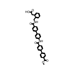 COC(=O)c1ccc(-c2ccc(C(=O)Nc3ccc(-c4ccc(C(=O)NCc5ccccc5CC(=O)O)cc4)cc3)cc2)cc1